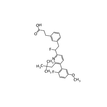 COc1ccc(F)c(-c2ccc(C(F)Cc3cccc(CCC(=O)O)c3)nc2CC(C)(C)C)c1